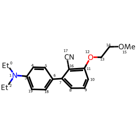 CCN(CC)c1ccc(-c2cccc(OCCOC)c2C#N)cc1